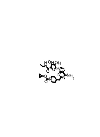 CCNC(=O)[C@H]1O[C@@H](n2cnc3c(N)nc(CC4CCN(C(=O)OC5CC5)CC4)nc32)C(O)C1O